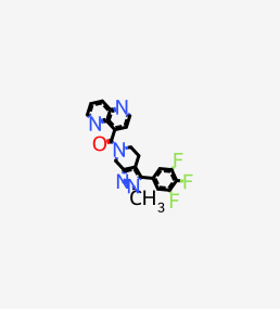 Cn1nc2c(c1-c1cc(F)c(F)c(F)c1)CCN(C(=O)c1ccnc3cccnc13)C2